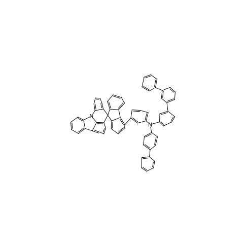 c1ccc(-c2ccc(N(c3cccc(-c4cccc(-c5ccccc5)c4)c3)c3cccc(-c4cccc5c4-c4ccccc4C54c5ccccc5-n5c6ccccc6c6cccc4c65)c3)cc2)cc1